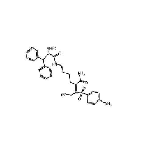 CC(=O)N[C@H](C(=O)NCCCCC(C(N)=O)N(CC(C)C)S(=O)(=O)c1ccc(N)cc1)C(c1ccccc1)c1ccccc1